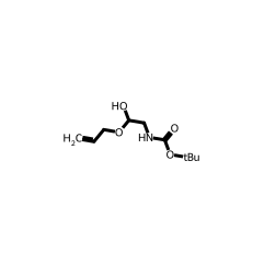 C=CCOC(O)CNC(=O)OC(C)(C)C